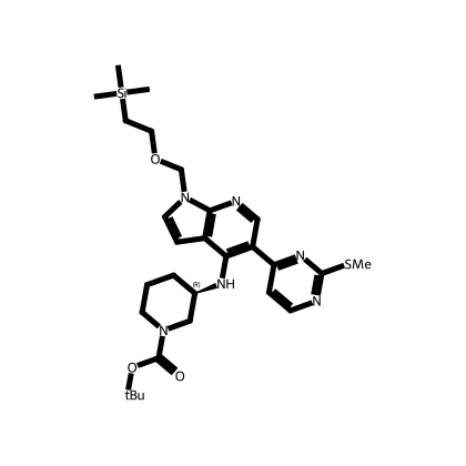 CSc1nccc(-c2cnc3c(ccn3COCC[Si](C)(C)C)c2N[C@@H]2CCCN(C(=O)OC(C)(C)C)C2)n1